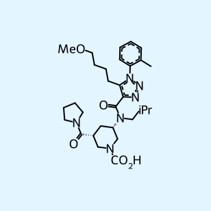 COCCCCc1c(C(=O)N(CC(C)C)[C@H]2C[C@@H](C(=O)N3CCCC3)CN(C(=O)O)C2)nnn1-c1ccccc1C